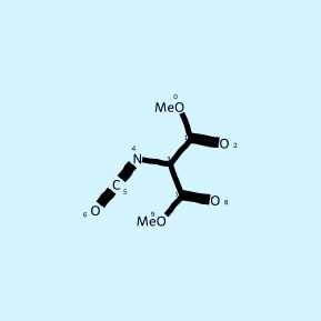 COC(=O)C(N=C=O)C(=O)OC